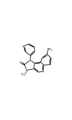 Bc1ccc2ncc3c(c2c1)n(-c1cccnc1)c(=O)n3C